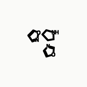 C1CCNC1.c1cnoc1.c1cocn1